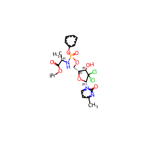 Cc1ccn([C@@H]2O[C@H](COP(=O)(N[C@H](C)C(=O)OC(C)C)Oc3ccccc3)[C@@H](O)C2(Cl)Cl)c(=O)n1